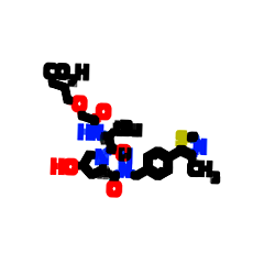 Cc1ncsc1-c1ccc(CNC(=O)[C@@H]2CC(O)CN2C(=O)[C@@H](NC(=O)COCCCC(=O)O)C(C)(C)C)cc1